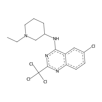 CCN1CCCC(Nc2nc(C(Cl)(Cl)Cl)nc3ccc(Cl)cc23)C1